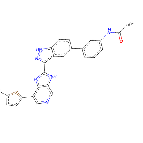 CCCC(=O)Nc1cccc(-c2ccc3[nH]nc(-c4nc5c(-c6ccc(C)s6)cncc5[nH]4)c3c2)c1